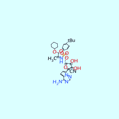 C[C@H](NP(=O)(OC[C@H]1O[C@@](C#N)(c2ccc3c(N)ncnn23)[C@H](O)[C@@H]1O)Oc1ccc(C(C)(C)C)cc1)C(=O)OC1CCCCC1